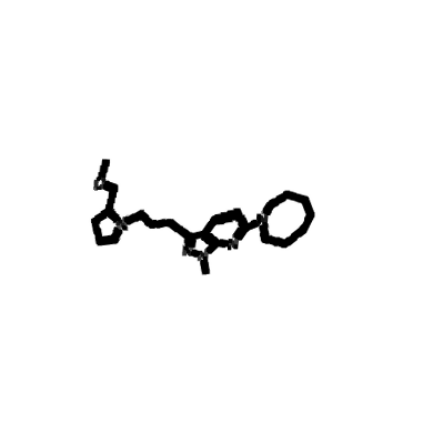 COCC1CCCN1CCCc1nn(C)c2nc(N3CCCCCCC3)ccc12